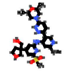 CC(=O)Nc1cc(Nc2cc(C3(CO)CCOC3)cc(S(C)(=O)=O)n2)c(-c2ccc(N3C[C@@H](C)O[C@@H](C)C3)nn2)cn1